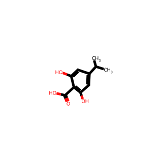 CC(C)c1cc(O)c(C(=O)O)c(O)c1